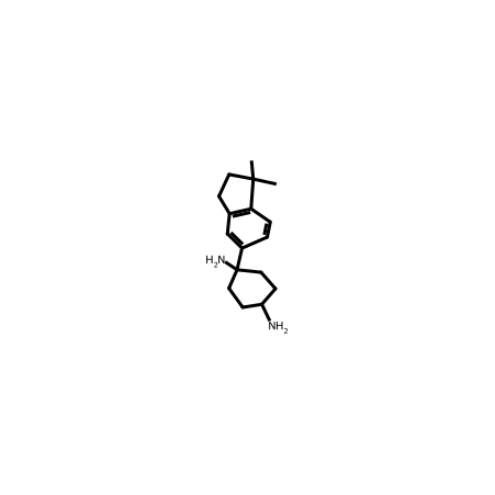 CC1(C)CCc2cc(C3(N)CCC(N)CC3)ccc21